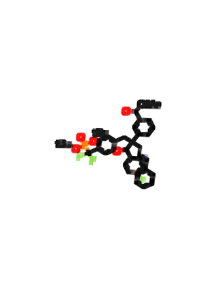 COC(=O)c1cccc(C(C/C=C/c2ccccc2)(Cc2ccc(C(F)(F)P(=O)(OC(C)(C)C)OC(C)(C)C)cc2)C(=O)c2ccc(F)cc2)c1